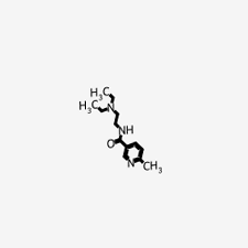 CCN(CC)CCNC(=O)c1ccc(C)nc1